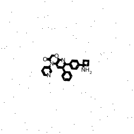 NC1(c2ccc(-c3nc4c(cc3-c3ccccc3)N(c3cccnc3)C(=O)CO4)cc2)CCC1